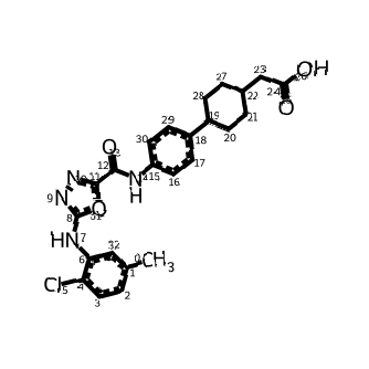 Cc1ccc(Cl)c(Nc2nnc(C(=O)Nc3ccc(C4CCC(CC(=O)O)CC4)cc3)o2)c1